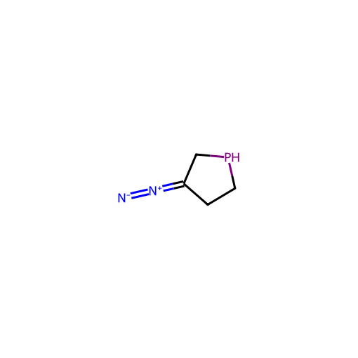 [N-]=[N+]=C1CCPC1